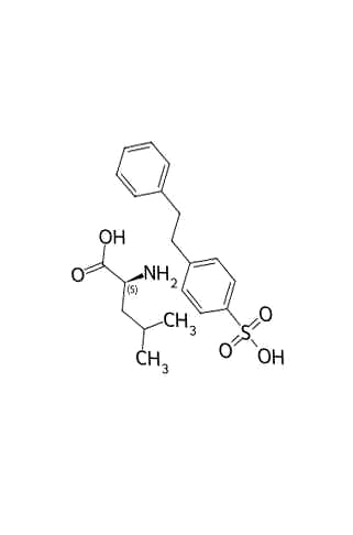 CC(C)C[C@H](N)C(=O)O.O=S(=O)(O)c1ccc(CCc2ccccc2)cc1